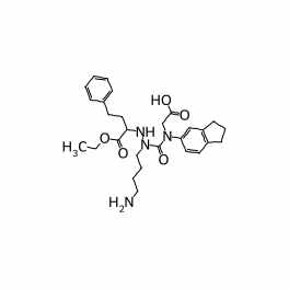 CCOC(=O)C(CCc1ccccc1)NN(CCCCN)C(=O)N(CC(=O)O)c1ccc2c(c1)CCC2